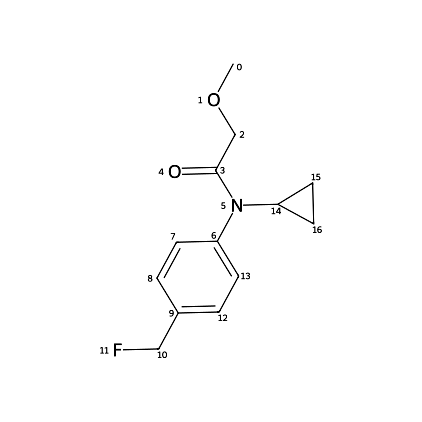 COCC(=O)N(c1ccc(CF)cc1)C1CC1